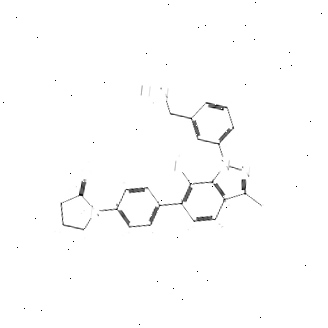 Cc1nn(-c2cccc(CN)c2)c2c(F)c(-c3ccc(N4CCCC4=O)cc3)ccc12